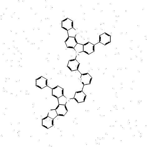 c1ccc(-c2ccc3c(c2)c2c4sc5ccccc5c4ccc2n3-c2cccc(-c3cccc(-c4cccc(-n5c6ccc(-c7ccccc7)cc6c6c7sc8ccccc8c7ccc65)c4)n3)c2)cc1